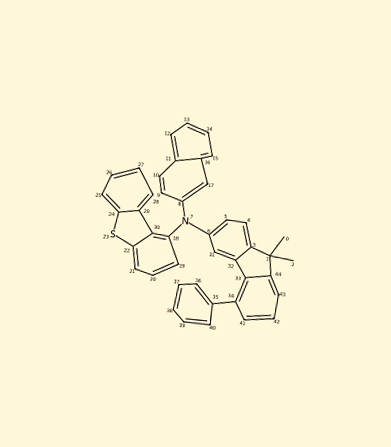 CC1(C)c2ccc(N(c3ccc4ccccc4c3)c3cccc4sc5ccccc5c34)cc2-c2c(-c3ccccc3)cccc21